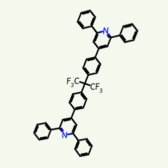 FC(F)(F)C(c1ccc(-c2cc(-c3ccccc3)nc(-c3ccccc3)c2)cc1)(c1ccc(-c2cc(-c3ccccc3)nc(-c3ccccc3)c2)cc1)C(F)(F)F